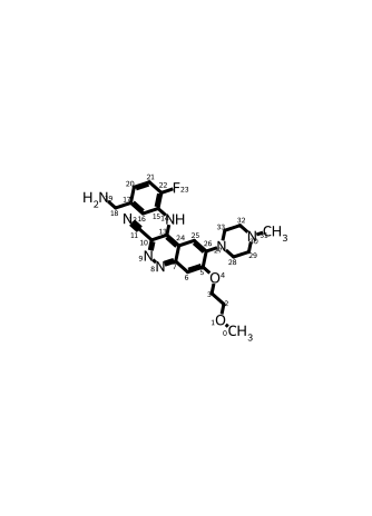 COCCOc1cc2nnc(C#N)c(Nc3cc(CN)ccc3F)c2cc1N1CCN(C)CC1